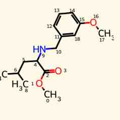 COC(=O)C(CC(C)C)NCc1cccc(OC)c1